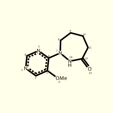 COc1cn[c]nc1N1CCCCC(=O)N1